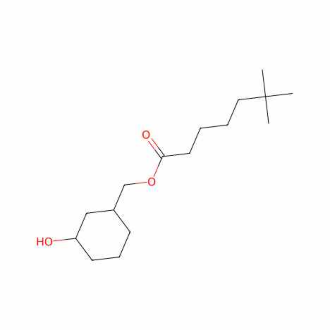 CC(C)(C)CCCCC(=O)OCC1CCCC(O)C1